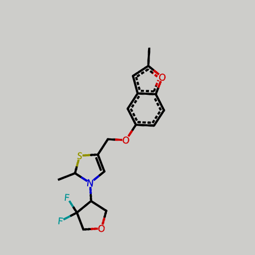 Cc1cc2cc(OCC3=CN(C4COCC4(F)F)C(C)S3)ccc2o1